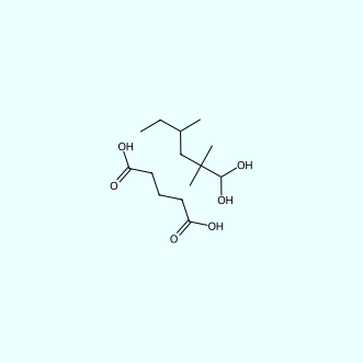 CCC(C)CC(C)(C)C(O)O.O=C(O)CCCC(=O)O